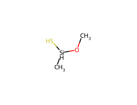 CO[SiH](C)S